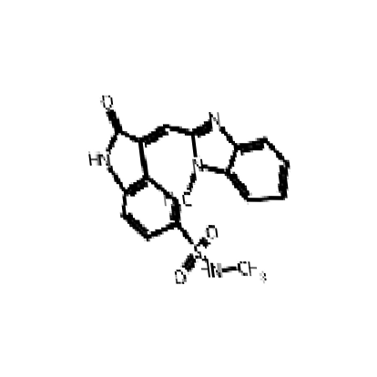 CNS(=O)(=O)c1ccc2c(c1)C(=Cc1nc3ccccc3n1C)C(=O)N2